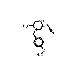 COc1ccc(CN2C[C@H](CC#N)NCC2C)cc1